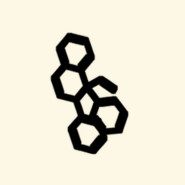 C=CC1(c2ccccc2)c2ccccc2C=CC1c1ccccc1